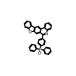 O=P(c1ccccc1)(c1ccccc1)c1ccc(-c2nc3ccccc3c3cc4c(cc23)oc2ccccc24)cc1